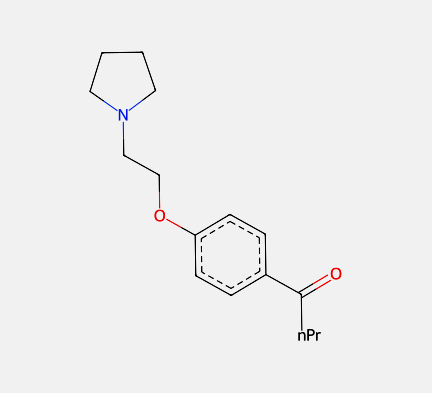 CCCC(=O)c1ccc(OCCN2CCCC2)cc1